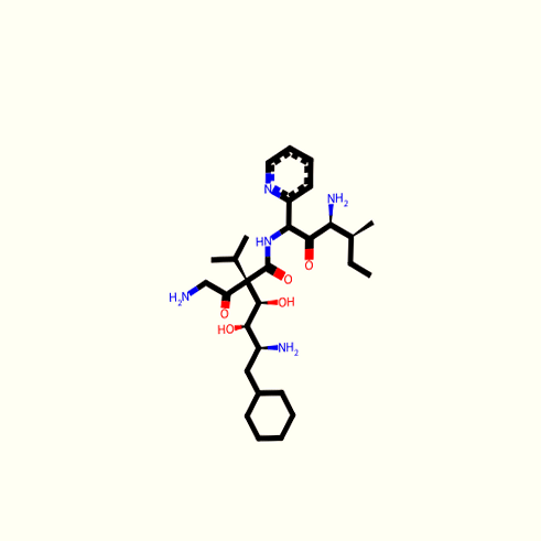 CC[C@H](C)[C@H](N)C(=O)C(NC(=O)[C@](C(=O)CN)(C(C)C)[C@@H](O)[C@H](O)[C@@H](N)CC1CCCCC1)c1ccccn1